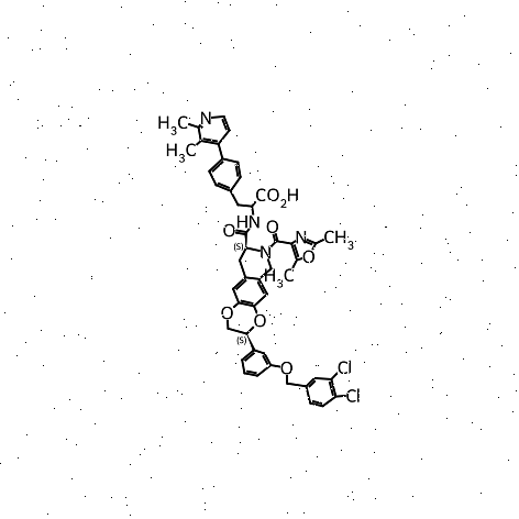 Cc1nc(C(=O)N2Cc3cc4c(cc3C[C@H]2C(=O)NC(Cc2ccc(-c3ccnc(C)c3C)cc2)C(=O)O)OC[C@H](c2cccc(OCc3ccc(Cl)c(Cl)c3)c2)O4)c(C)o1